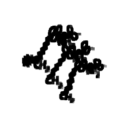 C=CCCCCCCCCC(=O)OC(=O)[C@@H](N)CCC(=O)[O-].C=CCCCCCCCCC(=O)OC(=O)[C@@H](N)CCC(=O)[O-].C=CCCCCCCCCC(=O)OC(=O)[C@@H](N)CCC(=O)[O-].[K+].[K+].[Na+]